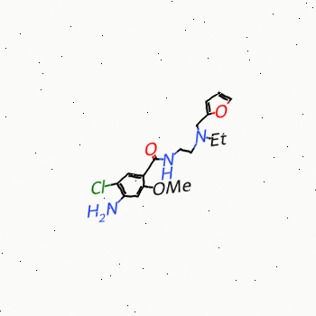 CCN(CCNC(=O)c1cc(Cl)c(N)cc1OC)Cc1ccco1